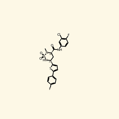 CN1[C@@H](C(=O)Nc2ccc(F)c(Cl)c2)C[C@@H](c2ccc(-c3ccc(F)cc3)s2)NS1(=O)=O